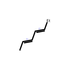 [CH2]/C=C/C=C/CC